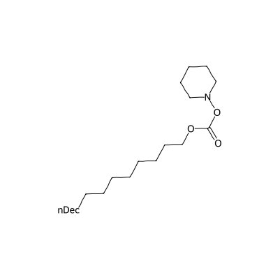 CCCCCCCCCCCCCCCCCCOC(=O)ON1CCCCC1